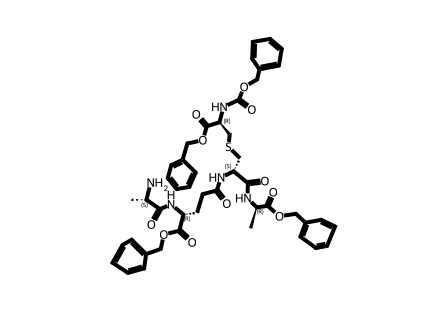 C[C@H](N)C(=O)N[C@H](CCC(=O)N[C@H](CSC[C@H](NC(=O)OCc1ccccc1)C(=O)OCc1ccccc1)C(=O)N[C@H](C)C(=O)OCc1ccccc1)C(=O)OCc1ccccc1